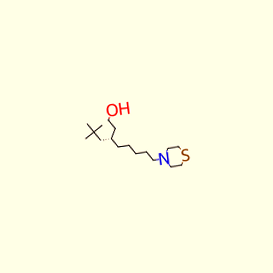 CC(C)(C)C[C@H](CCO)CCCCCN1CCSCC1